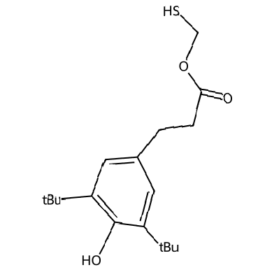 CC(C)(C)c1cc(CCC(=O)OCS)cc(C(C)(C)C)c1O